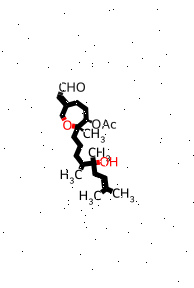 CC(=O)O[C@@H]1CCC(=CC=O)CO[C@@]1(C)CCCC(C)C(C)(O)CC=C(C)C